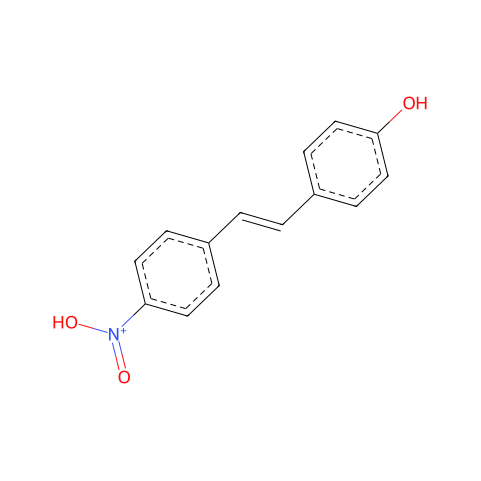 O=[N+](O)c1ccc(/C=C/c2ccc(O)cc2)cc1